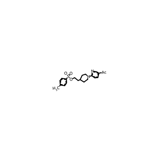 CC(=O)c1ccc(N2CCC(CCOS(=O)(=O)c3ccc(C)cc3)CC2)nc1